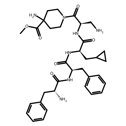 COC(=O)C1(N)CCN(C(=O)[C@@H](CN)NC(=O)[C@@H](CC2CC2)NC(=O)[C@@H](Cc2ccccc2)NC(=O)[C@H](N)Cc2ccccc2)CC1